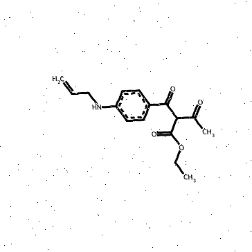 C=CCNc1ccc(C(=O)C(C(C)=O)C(=O)OCC)cc1